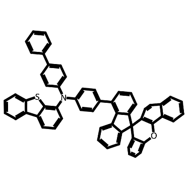 c1ccc(-c2ccc(N(c3ccc(-c4cccc5c4-c4ccccc4C54c5ccccc5Oc5c4ccc4ccccc54)cc3)c3cccc4c3sc3ccccc34)cc2)cc1